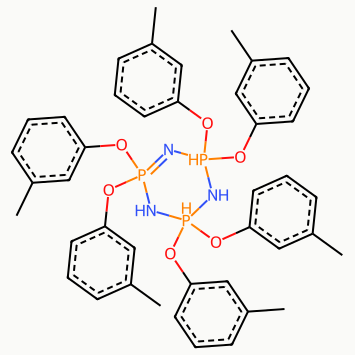 Cc1cccc(OP2(Oc3cccc(C)c3)=N[PH](Oc3cccc(C)c3)(Oc3cccc(C)c3)N[PH](Oc3cccc(C)c3)(Oc3cccc(C)c3)N2)c1